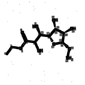 CCOC(=O)C(O)[C@@H](O)[C@H]1O[C@H](ON)[C@@H](O)[C@H]1O